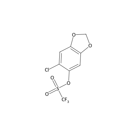 O=S(=O)(Oc1cc2c(cc1Cl)OCO2)C(F)(F)F